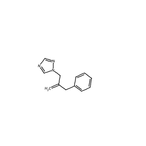 C=C(Cc1ccccc1)Cn1cncn1